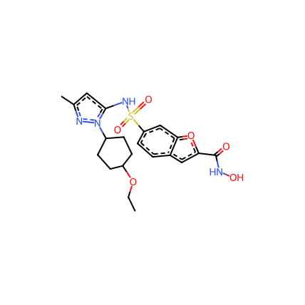 CCOC1CCC(n2nc(C)cc2NS(=O)(=O)c2ccc3cc(C(=O)NO)oc3c2)CC1